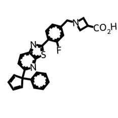 O=C(O)C1CN(Cc2ccc(-c3nc4ccc(C5(c6ccccc6)C=CC=C5)nc4s3)c(F)c2)C1